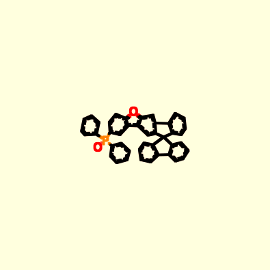 O=P(c1ccccc1)(c1ccccc1)c1ccc2oc3cc4c(cc3c2c1)C1(c2ccccc2-c2ccccc21)c1ccccc1-4